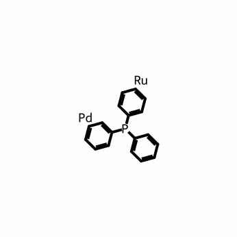 [Pd].[Ru].c1ccc(P(c2ccccc2)c2ccccc2)cc1